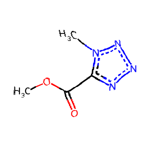 COC(=O)c1nnnn1C